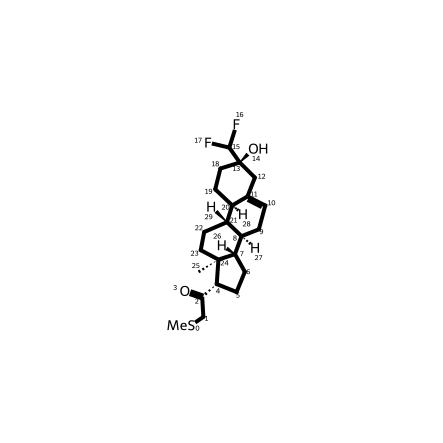 CSCC(=O)[C@H]1CC[C@H]2[C@@H]3CC=C4C[C@@](O)(C(F)F)CC[C@@H]4[C@H]3CC[C@]12C